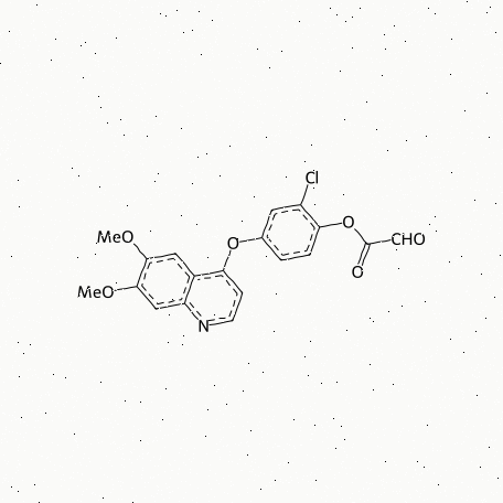 COc1cc2nccc(Oc3ccc(OC(=O)C=O)c(Cl)c3)c2cc1OC